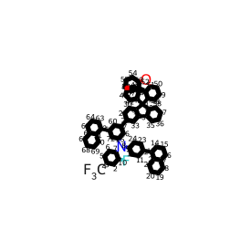 Fc1cc(C(F)(F)F)ccc1N(c1ccc(-c2cccc3ccccc23)cc1)c1cc(-c2ccc3c(c2)-c2ccccc2C3(c2ccccc2)c2cccc3oc4ccccc4c23)cc(-c2cccc3ccccc23)c1